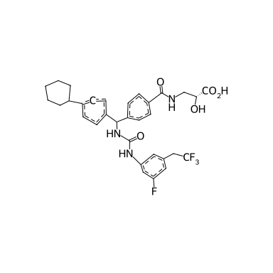 O=C(Nc1cc(F)cc(CC(F)(F)F)c1)NC(c1ccc(C(=O)NC[C@@H](O)C(=O)O)cc1)c1ccc(C2CCCCC2)cc1